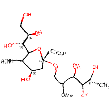 COC(CO[C@]1(C(=O)O)C[C@@H](O)C(NC(C)=O)C([C@H](O)[C@H](O)CO)O1)C(O)C(O)[C@@H](C)O